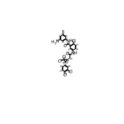 Nc1cc(F)cc(NC(=O)c2cc(NC(=O)C[C@H]3[C@H](c4ccc(Cl)c(Cl)c4)C3(Cl)Cl)ccc2Cl)c1